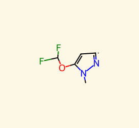 Cn1n[c]cc1OC(F)F